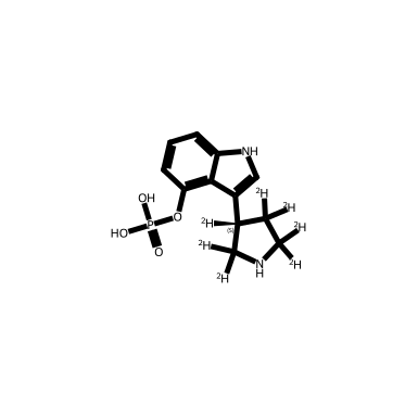 [2H]C1([2H])NC([2H])([2H])[C@]([2H])(c2c[nH]c3cccc(OP(=O)(O)O)c23)C1([2H])[2H]